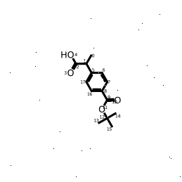 CC(C(=O)O)c1ccc(C(=O)OC(C)(C)C)cc1